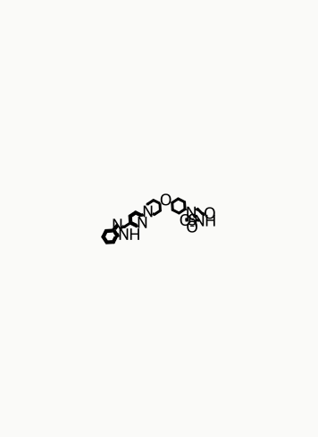 O=C1CN([C@H]2CC[C@@H](OC3CCN(c4ccc(-c5nc6ccccc6[nH]5)cn4)CC3)CC2)S(=O)(=O)N1